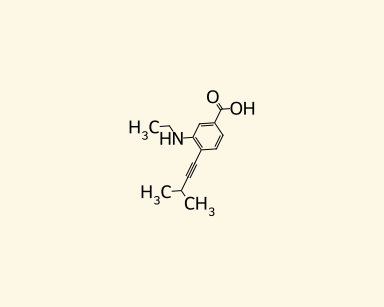 CCNc1cc(C(=O)O)ccc1C#CC(C)C